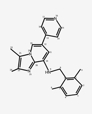 Cc1cccc(C)c1CNc1cc(-c2ccncc2)cn2c(C)c(C)nc12